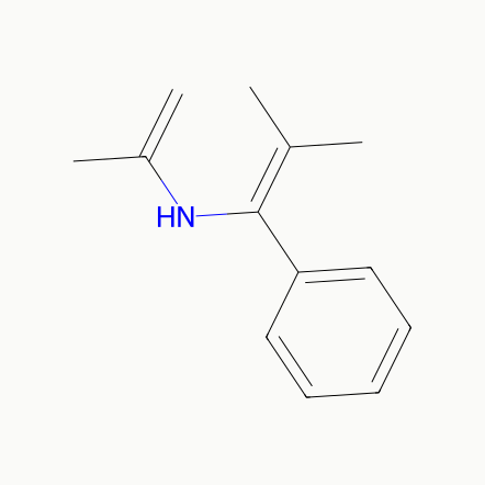 C=C(C)NC(=C(C)C)c1ccccc1